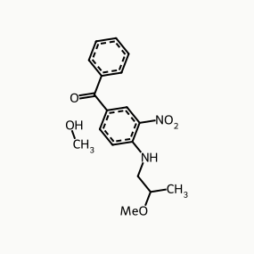 CO.COC(C)CNc1ccc(C(=O)c2ccccc2)cc1[N+](=O)[O-]